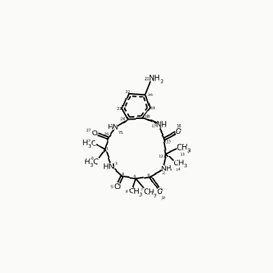 CC1(C)NC(=O)C(C)(C)C(=O)NC(C)(C)C(=O)Nc2cc(N)ccc2NC1=O